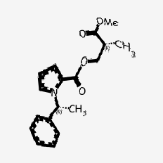 COC(=O)[C@H](C)COC(=O)c1cccn1[C@H](C)c1ccccc1